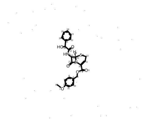 COc1ccc(COC(=O)C2=CCS[C@H]3C(NC(=O)C(O)c4ccccc4)C(=O)N23)cc1